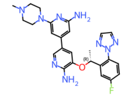 C[C@@H](Oc1cc(-c2cc(N)nc(N3CCN(C)CC3)c2)cnc1N)c1cc(F)ccc1-n1nccn1